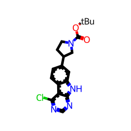 CC(C)(C)OC(=O)N1CCC(c2ccc3c(c2)[nH]c2ncnc(Cl)c23)C1